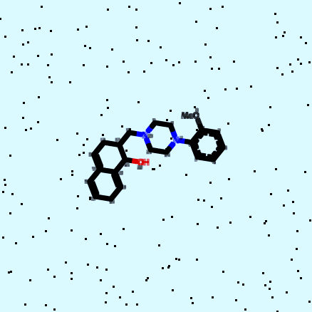 COc1ccccc1N1CCN(CC2CC=C3C=CCC=C3C2O)CC1